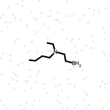 BCCN(CC)CCCC